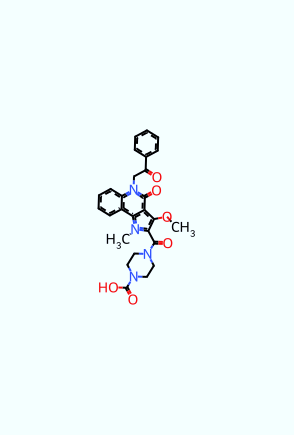 COc1c(C(=O)N2CCN(C(=O)O)CC2)n(C)c2c1c(=O)n(CC(=O)c1ccccc1)c1ccccc21